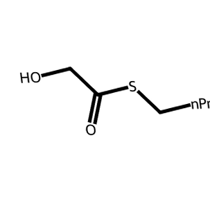 CCCCSC(=O)CO